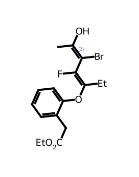 CCOC(=O)Cc1ccccc1OC(CC)=C(F)/C(Br)=C(\C)O